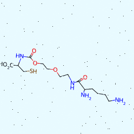 NCCCCC(N)C(=O)NCCOCCOC(=O)NC(CS)C(=O)O